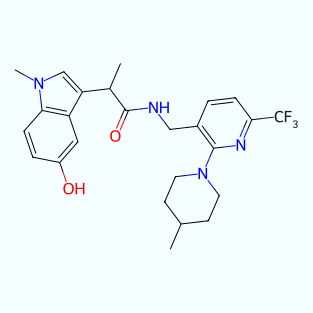 CC1CCN(c2nc(C(F)(F)F)ccc2CNC(=O)C(C)c2cn(C)c3ccc(O)cc23)CC1